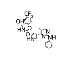 Cc1cnc(Nc2ccccc2)nc1-c1c[nH]c(OC(=O)NC(CO)c2cccc(C(F)(F)F)c2)c1